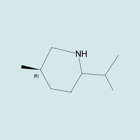 CC(C)C1CC[C@@H](C)CN1